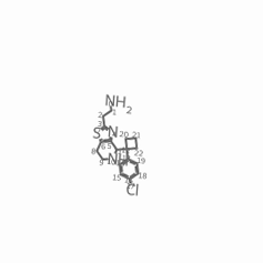 NCCc1nc2c(s1)CCNC2C1(c2ccc(Cl)cc2)CCC1